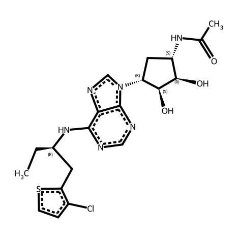 CC[C@H](Cc1sccc1Cl)Nc1ncnc2c1ncn2[C@@H]1C[C@H](NC(C)=O)[C@@H](O)[C@H]1O